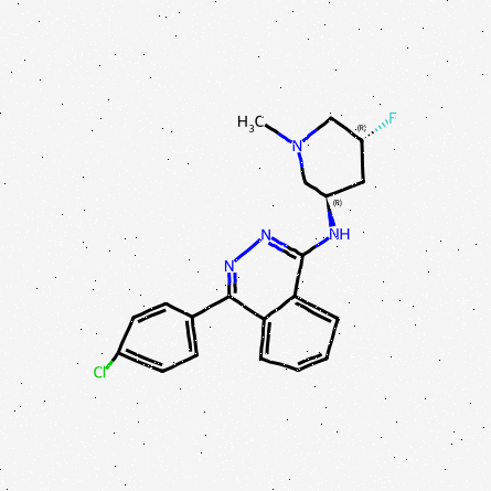 CN1C[C@H](F)C[C@@H](Nc2nnc(-c3ccc(Cl)cc3)c3ccccc23)C1